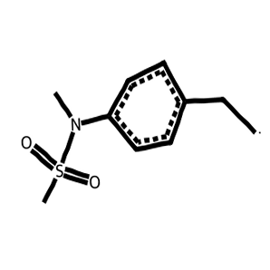 [CH2]Cc1ccc(N(C)S(C)(=O)=O)cc1